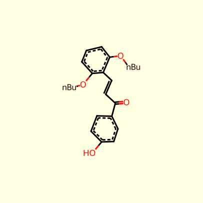 CCCCOc1cccc(OCCCC)c1C=CC(=O)c1ccc(O)cc1